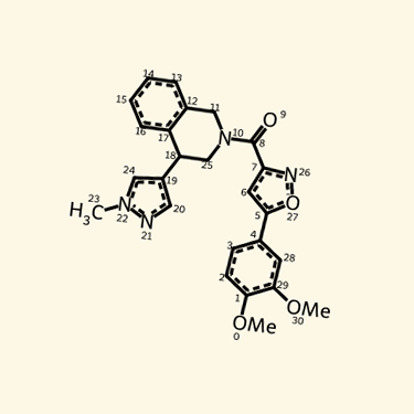 COc1ccc(-c2cc(C(=O)N3Cc4ccccc4C(c4cnn(C)c4)C3)no2)cc1OC